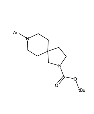 CC(=O)N1CCC2(CC1)CCN(C(=O)OC(C)(C)C)C2